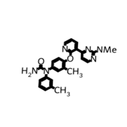 CNc1nccc(-c2cccnc2Oc2ccc(N(C(N)=O)c3cccc(C)c3)cc2C)n1